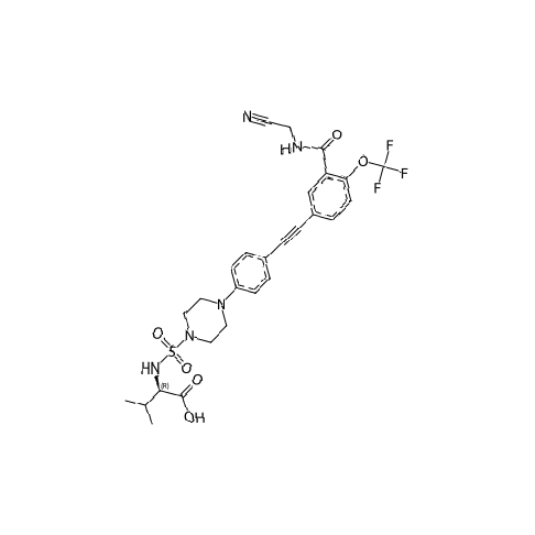 CC(C)[C@@H](NS(=O)(=O)N1CCN(c2ccc(C#Cc3ccc(OC(F)(F)F)c(C(=O)NCC#N)c3)cc2)CC1)C(=O)O